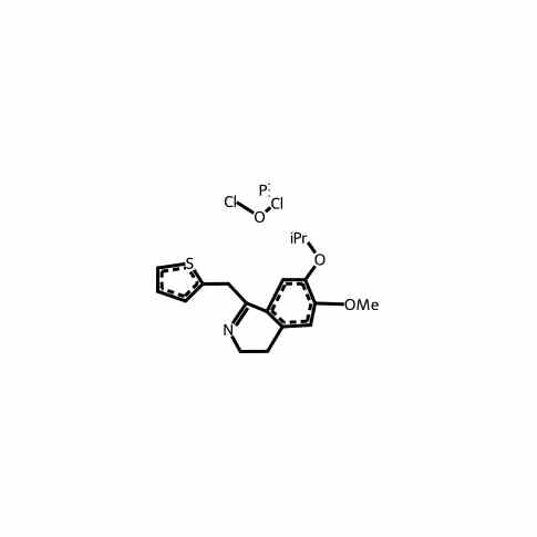 COc1cc2c(cc1OC(C)C)C(Cc1cccs1)=NCC2.ClOCl.[P]